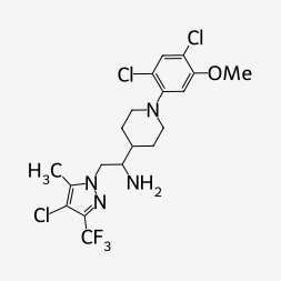 COc1cc(N2CCC(C(N)Cn3nc(C(F)(F)F)c(Cl)c3C)CC2)c(Cl)cc1Cl